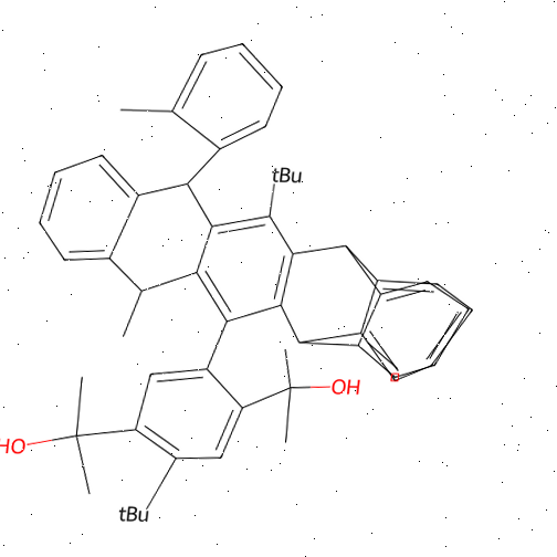 Cc1ccccc1C1c2ccccc2C(C)c2c(-c3cc(C(C)(C)O)c(C(C)(C)C)cc3C(C)(C)O)c3c(c(C(C)(C)C)c21)C1c2ccccc2C3c2ccccc21